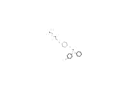 O=C(O)CNC(=O)COC[C@H]1CC[C@H](COC(=O)N(c2ccccc2)c2ccc(Cl)cc2)CC1